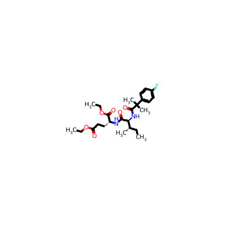 CCOC(=O)CC[C@@H](NC(=O)[C@@H](NC(=O)C(C)(C)c1ccc(F)cc1)[C@@H](C)CC)C(=O)OCC